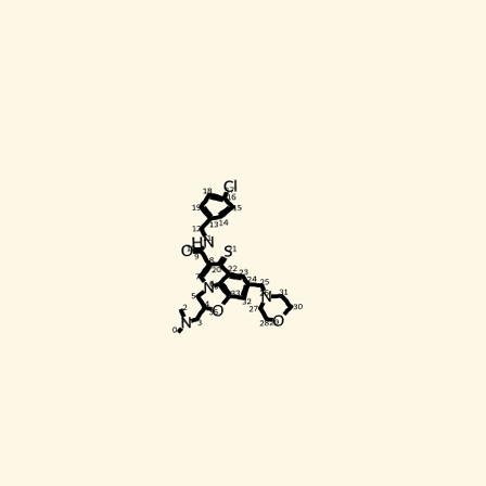 CN(C)CC1Cn2cc(C(=O)NCc3ccc(Cl)cc3)c(=S)c3cc(CN4CCOCC4)cc(c32)O1